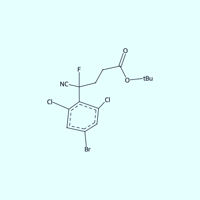 CC(C)(C)OC(=O)CCC(F)(C#N)c1c(Cl)cc(Br)cc1Cl